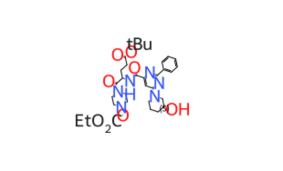 CCOC(=O)ON1CCN(C(=O)C(CCC(=O)OC(C)(C)C)NC(=O)c2cc(N3CCC[C@H](O)C3)nc(-c3ccccc3)n2)CC1